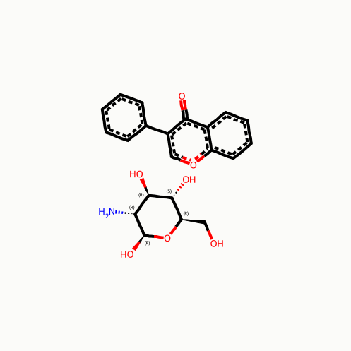 N[C@@H]1[C@@H](O)[C@H](O)[C@@H](CO)O[C@H]1O.O=c1c(-c2ccccc2)coc2ccccc12